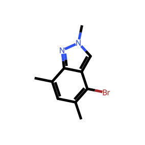 Cc1cc(C)c2nn(C)cc2c1Br